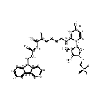 C=P(C)(C)CC[C@H]1OC(N2C=CC(N)N=C2NCCCCC(C)C(=O)OC(=O)OCC2c3ccccc3-c3ccccc32)[C@H](O)[C@@H]1O